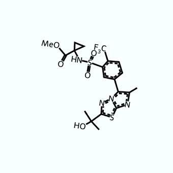 COC(=O)C1(NS(=O)(=O)c2cc(-c3c(C)nc4sc(C(C)(C)O)nn34)ccc2C(F)(F)F)CC1